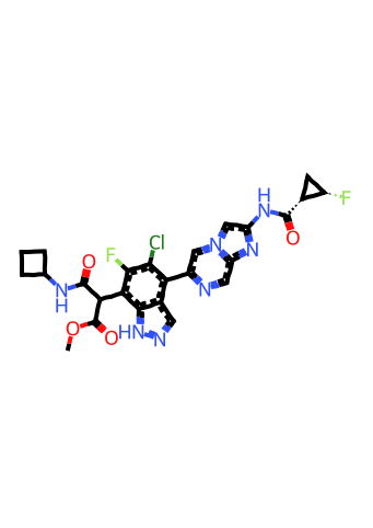 COC(=O)C(C(=O)NC1CCC1)c1c(F)c(Cl)c(-c2cn3cc(NC(=O)[C@@H]4C[C@@H]4F)nc3cn2)c2cn[nH]c12